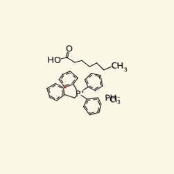 CCCCCCC(=O)O.P.[Cl-].c1ccc(C[P+](c2ccccc2)(c2ccccc2)c2ccccc2)cc1